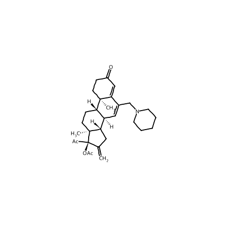 C=C1C[C@H]2[C@@H]3C=C(CN4CCCCC4)C4=CC(=O)CC[C@]4(C)[C@H]3CC[C@]2(C)[C@@]1(OC(C)=O)C(C)=O